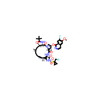 COc1cc2ccnc(O[C@@H]3C[C@H]4C(=O)N[C@]5(C(=O)NS(=O)(=O)C6(CF)CC6)C[C@H]5/C=C\CC[C@@H](C)C[C@@H](C)[C@H](NC(=O)C(C)(C)C)C(=O)N4C3)c2cc1F